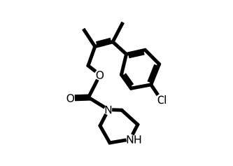 CC(COC(=O)N1CCNCC1)=C(C)c1ccc(Cl)cc1